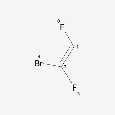 F/C=C(/F)Br